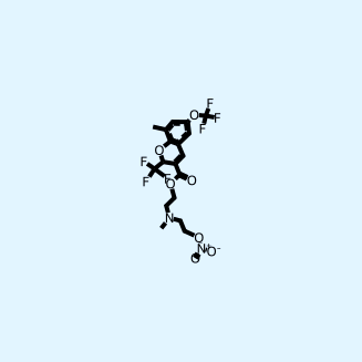 Cc1cc(OC(F)(F)F)cc2c1OC(C(F)(F)F)C(C(=O)OCCN(C)CCO[N+](=O)[O-])=C2